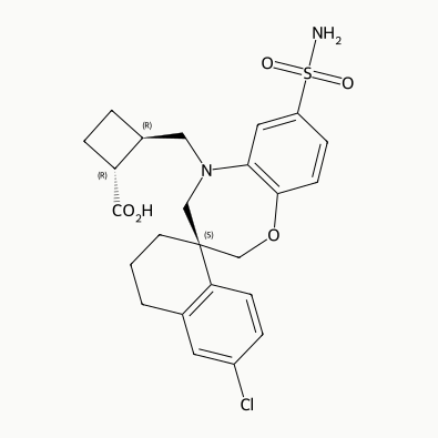 NS(=O)(=O)c1ccc2c(c1)N(C[C@@H]1CC[C@H]1C(=O)O)C[C@@]1(CCCc3cc(Cl)ccc31)CO2